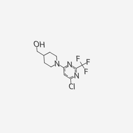 OCC1CCN(c2cc(Cl)nc(C(F)(F)F)n2)CC1